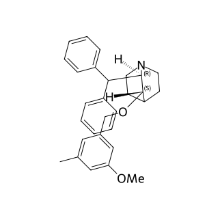 COc1cc(C)cc(CO[C@H]2C3CCN(CC3)[C@@H]2C(c2ccccc2)c2ccccc2)c1